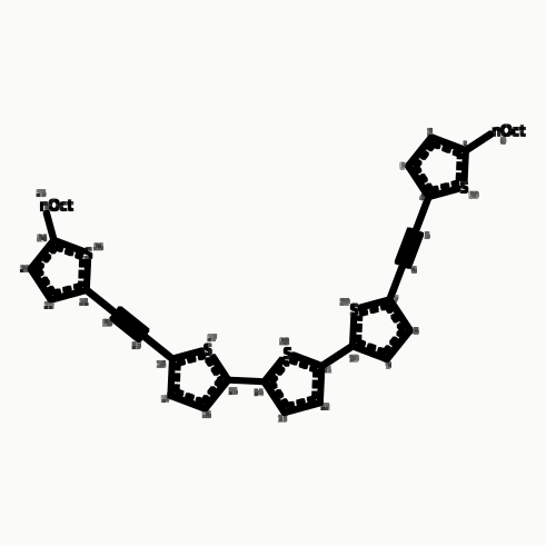 CCCCCCCCc1ccc(C#Cc2ccc(-c3ccc(-c4ccc(C#Cc5ccc(CCCCCCCC)s5)s4)s3)s2)s1